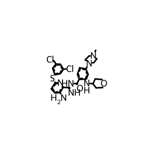 CN1CCN(c2ccc(C(=O)NC(=N)c3nc(Sc4cc(Cl)cc(Cl)c4)ccc3N)c(NC3CCOCC3)c2)CC1